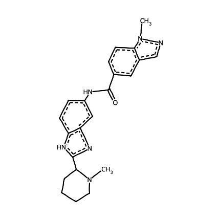 CN1CCCCC1c1nc2cc(NC(=O)c3ccc4c(cnn4C)c3)ccc2[nH]1